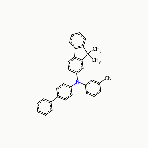 CC1(C)c2ccccc2-c2ccc(N(c3ccc(-c4ccccc4)cc3)c3cccc(C#N)c3)cc21